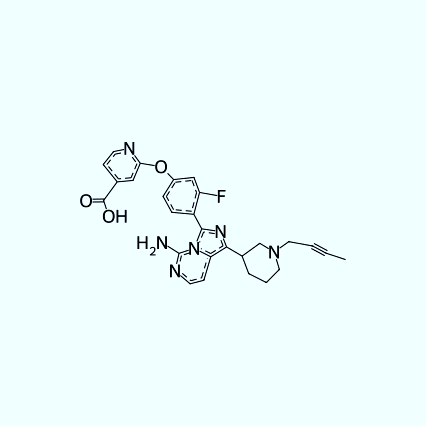 CC#CCN1CCCC(c2nc(-c3ccc(Oc4cc(C(=O)O)ccn4)cc3F)n3c(N)nccc23)C1